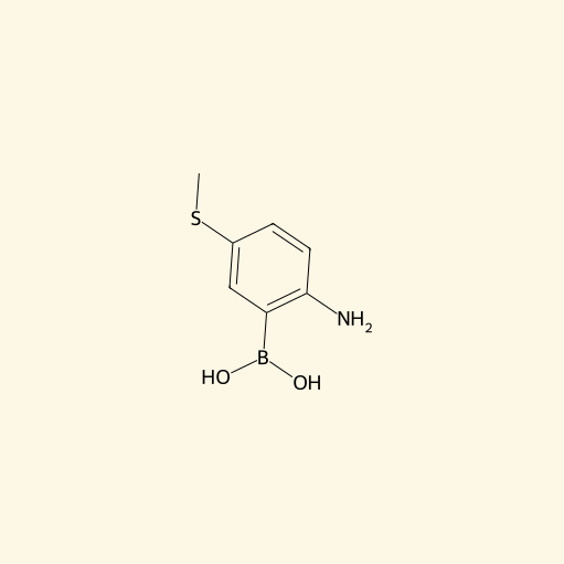 CSc1ccc(N)c(B(O)O)c1